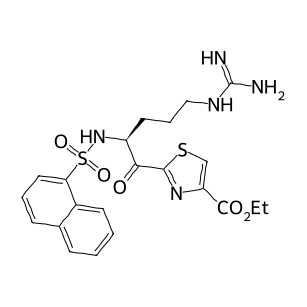 CCOC(=O)c1csc(C(=O)[C@H](CCCNC(=N)N)NS(=O)(=O)c2cccc3ccccc23)n1